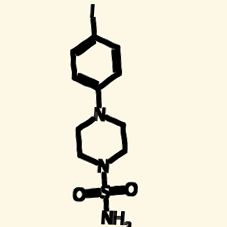 NS(=O)(=O)N1CCN(c2ccc(I)cc2)CC1